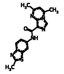 Cc1cc(C)n2cnc(C(=O)Nc3ccc4nc(C)sc4c3)c2n1